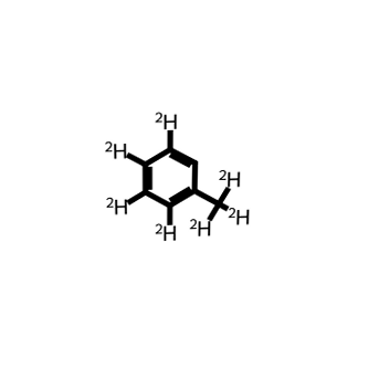 [2H]c1cc(C([2H])([2H])[2H])c([2H])c([2H])c1[2H]